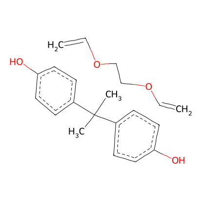 C=COCCOC=C.CC(C)(c1ccc(O)cc1)c1ccc(O)cc1